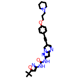 CC(C)(C)c1cc(NC(=O)Nc2cc3ncc(C#Cc4ccc(OCCCN5CCCCC5)cc4)cn3n2)no1